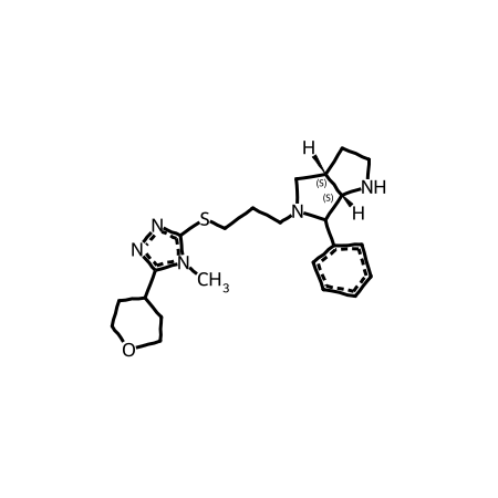 Cn1c(SCCCN2C[C@@H]3CCN[C@@H]3C2c2ccccc2)nnc1C1CCOCC1